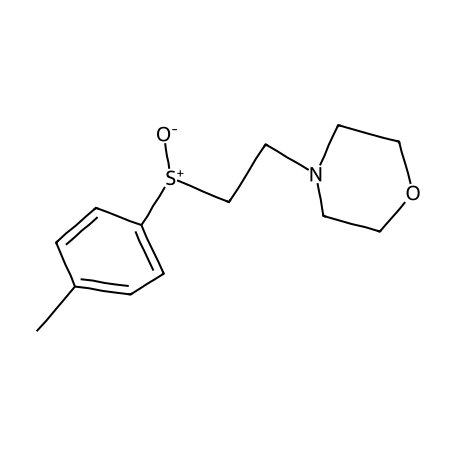 Cc1ccc([S+]([O-])CCN2CCOCC2)cc1